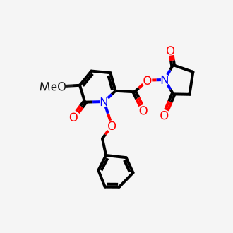 COc1ccc(C(=O)ON2C(=O)CCC2=O)n(OCc2ccccc2)c1=O